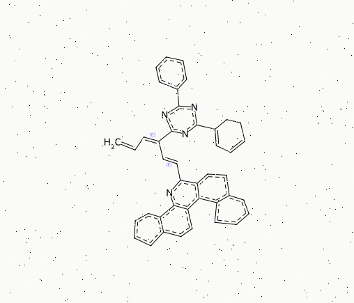 C=C/C=C(\C=C\c1nc2c3ccccc3ccc2c2c1ccc1ccccc12)c1nc(C2=CC=CCC2)nc(-c2ccccc2)n1